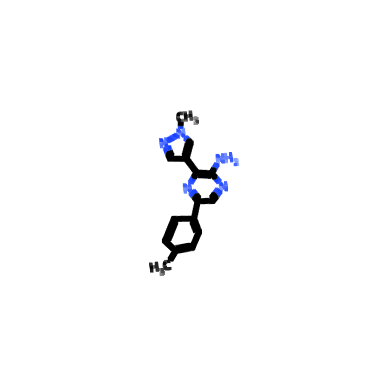 Cc1ccc(-c2cnc(N)c(-c3cnn(C)c3)n2)cc1